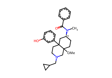 COC12CC[C@H](N(C)C(=O)c3ccccc3)CC1(c1cccc(O)c1)CCN(CC1CC1)C2